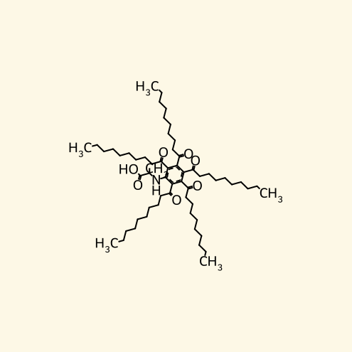 CCCCCCCCCC(=O)c1c(NC(C)C(=O)O)c(C(=O)CCCCCCCCC)c(C(=O)CCCCCCCCC)c(C(=O)CCCCCCCCC)c1C(=O)CCCCCCCCC